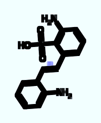 Nc1ccccc1/C=C/c1cccc(N)c1S(=O)(=O)O